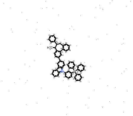 CC1c2ccc(-c3ccc4c(c3)c3ccccc3n4-c3cccc([Si](c4ccccc4)(c4ccccc4)c4ccccc4)c3)cc2-c2ccccc2CC1c1ccccc1